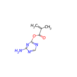 C=C(C)C(=O)Oc1ncnc(N)n1